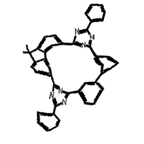 CC1(C)c2ccc3cc2c2cc(ccc21)c1nc(-c2ccccc2)nc(n1)c1cccc(c1)c1cccc(c1)c1nc(-c2ccccc2)nc3n1